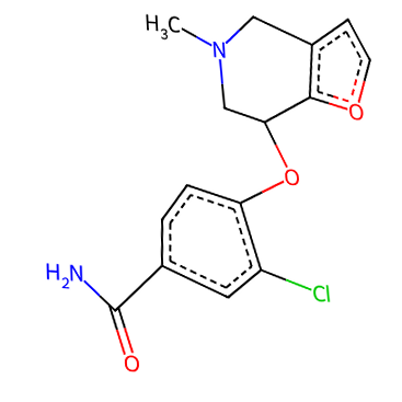 CN1Cc2ccoc2C(Oc2ccc(C(N)=O)cc2Cl)C1